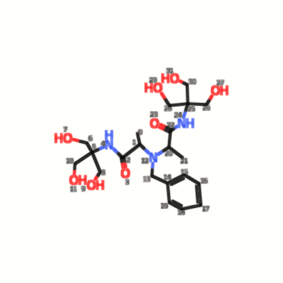 CC(C(=O)NC(CO)(CO)CO)N(Cc1ccccc1)C(C)C(=O)NC(CO)(CO)CO